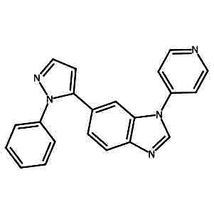 c1ccc(-n2nccc2-c2ccc3ncn(-c4ccncc4)c3c2)cc1